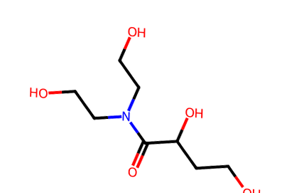 O=C(C(O)CCO)N(CCO)CCO